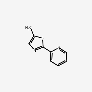 Cc1cnc(-c2ccccn2)s1